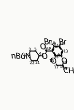 CCCCN1CCC(OC(=O)c2c(Br)c(Br)cc3c2OCC(C)O3)CC1